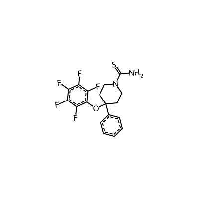 NC(=S)N1CCC(Oc2c(F)c(F)c(F)c(F)c2F)(c2ccccc2)CC1